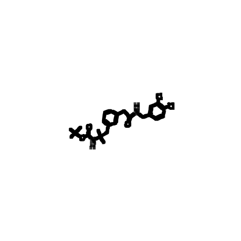 CC(C)(Cc1cccc(CC(=O)NCc2ccc(Cl)c(Cl)c2)c1)NC(=O)OC(C)(C)C